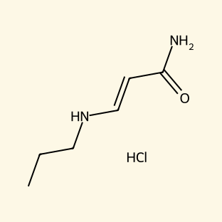 CCCNC=CC(N)=O.Cl